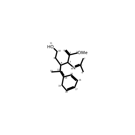 C=C(OC)C(N=C(C)C)C(CCO)/C(C)=C1\C=CC=CC1